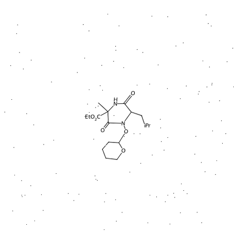 CCOC(=O)C1(C)NC(=O)C(CC(C)C)N(OC2CCCCO2)C1=O